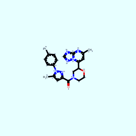 Cc1cc(C2CN(C(=O)c3cc(C)n(-c4ccc(C(C)C)cc4)n3)CCO2)n2ncnc2n1